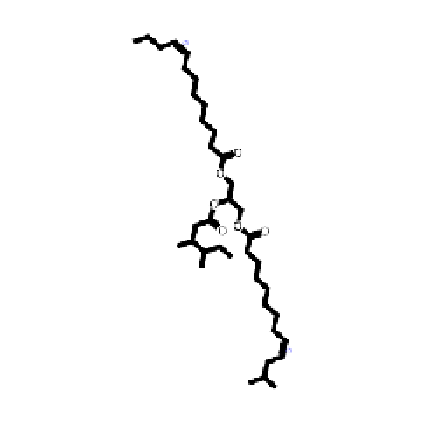 CCC/C=C\CCCCCCCC(=O)OCC(COC(=O)CCCCCCC/C=C\CC(C)C)OC(=O)CC(C)C(C)CC